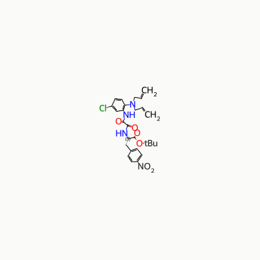 C=CCN(CC=C)c1ccc(Cl)cc1NC(=O)C(=O)N[C@@H](Cc1ccc([N+](=O)[O-])cc1)C(=O)OC(C)(C)C